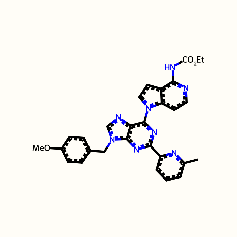 CCOC(=O)Nc1nccc2c1ccn2-c1nc(-c2cccc(C)n2)nc2c1ncn2Cc1ccc(OC)cc1